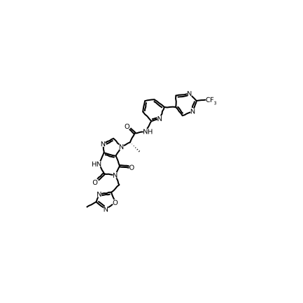 Cc1noc(Cn2c(=O)[nH]c3ncn([C@@H](C)C(=O)Nc4cccc(-c5cnc(C(F)(F)F)nc5)n4)c3c2=O)n1